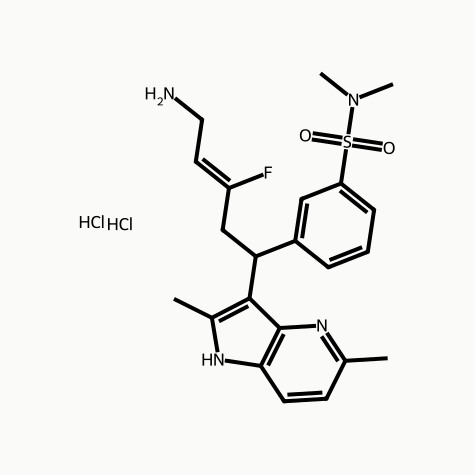 Cc1ccc2[nH]c(C)c(C(C/C(F)=C/CN)c3cccc(S(=O)(=O)N(C)C)c3)c2n1.Cl.Cl